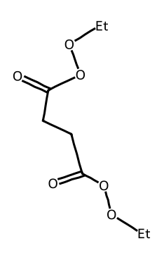 CCOOC(=O)CCC(=O)OOCC